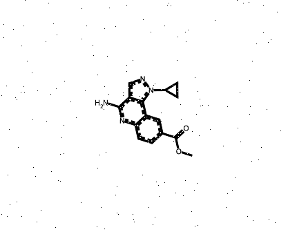 COC(=O)c1ccc2nc(N)c3cnn(C4CC4)c3c2c1